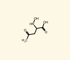 CC(=O)CC(NO)C(=O)O